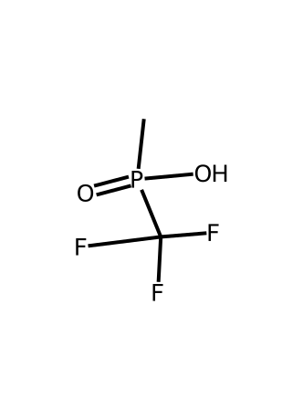 CP(=O)(O)C(F)(F)F